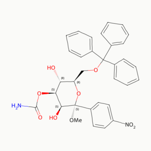 CO[C@@]1(c2ccc([N+](=O)[O-])cc2)O[C@H](COC(c2ccccc2)(c2ccccc2)c2ccccc2)[C@@H](O)[C@H](OC(N)=O)[C@@H]1O